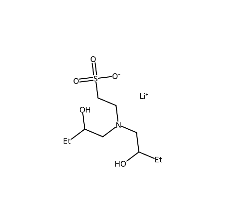 CCC(O)CN(CCS(=O)(=O)[O-])CC(O)CC.[Li+]